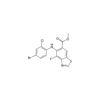 COC(=O)c1cc2scnc2c(F)c1Nc1ccc(Br)cc1Cl